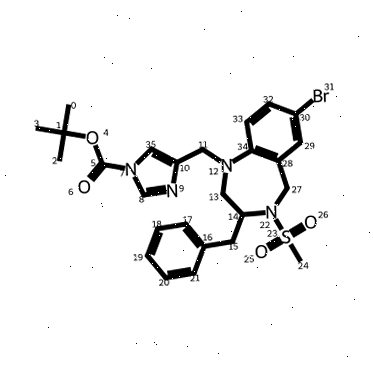 CC(C)(C)OC(=O)n1cnc(CN2CC(Cc3ccccc3)N(S(C)(=O)=O)Cc3cc(Br)ccc32)c1